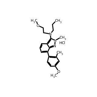 CCCN(CCOC)c1c2cccc(-c3ccc(OC)cc3C)c2nn1C.Cl